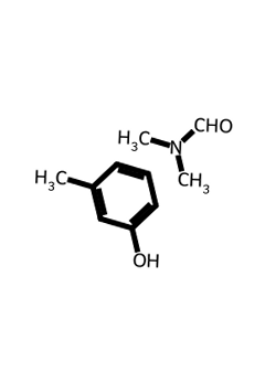 CN(C)C=O.Cc1cccc(O)c1